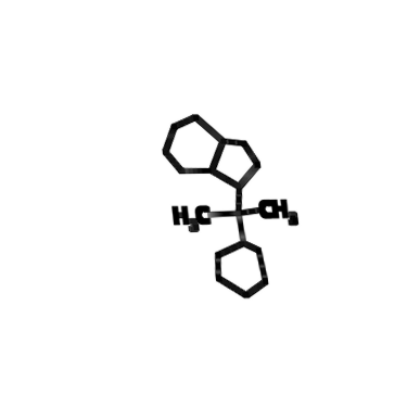 CC(C)(C1CCCCC1)C1CCC2CCCCC21